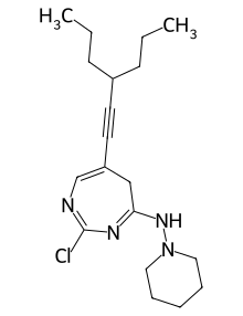 CCCC(C#CC1=CN=C(Cl)N=C(NN2CCCCC2)C1)CCC